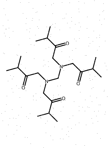 CC(C)C(=O)CN(CC(=O)C(C)C)CN(CC(=O)C(C)C)CC(=O)C(C)C